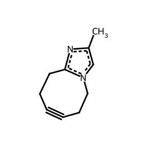 Cc1cn2c(n1)CCC#CCC2